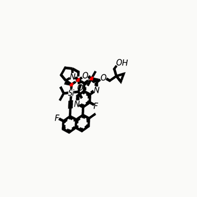 Cc1ccc2ccc(F)c(C#C[Si](C(C)C)(C(C)C)C(C)C)c2c1-c1ncc2c(N3CC4CCC(C3)N4C(=O)OC(C)(C)C)nc(OCC3(CO)CC3)nc2c1F